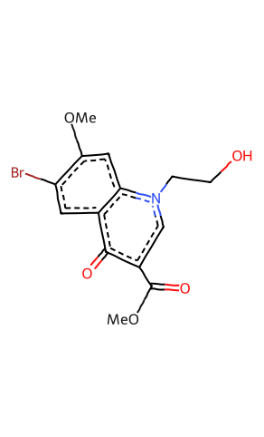 COC(=O)c1cn(CCO)c2cc(OC)c(Br)cc2c1=O